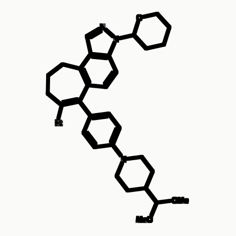 CCC1=C(c2ccc(N3CCC(C(OC)OC)CC3)cc2)c2ccc3c(cnn3C3CCCCO3)c2CCC1